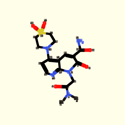 CCN(CC)C(=O)Cn1c(=O)c(C(N)=O)cc2c(N3CCS(=O)(=O)CC3)ccnc21